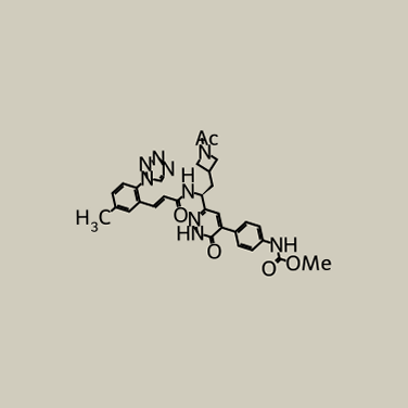 COC(=O)Nc1ccc(-c2cc([C@H](CC3CN(C(C)=O)C3)NC(=O)/C=C/c3cc(C)ccc3-n3cnnn3)n[nH]c2=O)cc1